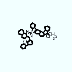 CC1(C)c2ccccc2-c2c1ccc1cc3c(cc21)c1ccccc1n3-c1nc(-c2cccc3c2oc2ccccc23)c2ccc3ccccc3c2n1